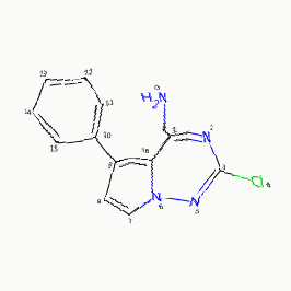 Nc1nc(Cl)nn2ccc(-c3ccccc3)c12